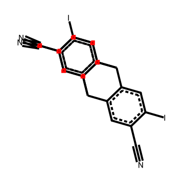 N#Cc1ccc2c(c1)C1c3cc(C#N)c(I)cc3C2c2cc(I)c(C#N)cc21